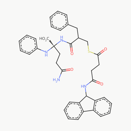 NC(=O)CC[C@@](NC(=O)C(CSC(=O)CCC(=O)NC1c2ccccc2-c2ccccc21)Cc1ccccc1)(Nc1ccccc1)C(=O)O